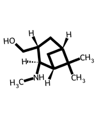 CN[C@H]1[C@H](CO)C[C@H]2C[C@@H]1C2(C)C